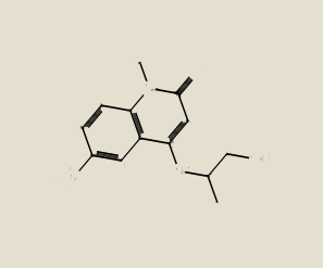 CC(CO)Nc1cc(=O)n(C)c2ccc([N+](=O)[O-])cc12